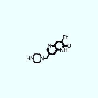 CCc1cc2ncc(CN3CCNCC3)cc2[nH]c1=O